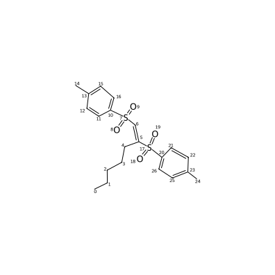 CCCCCC(=CS(=O)(=O)c1ccc(C)cc1)S(=O)(=O)c1ccc(C)cc1